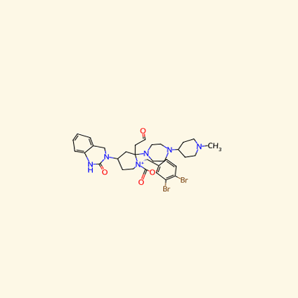 CN1CCC(N2CCN(C3(CC=O)CC(N4Cc5ccccc5NC4=O)CC[N@+]3(Cc3ccc(Br)c(Br)c3)C(=O)[O-])CC2)CC1